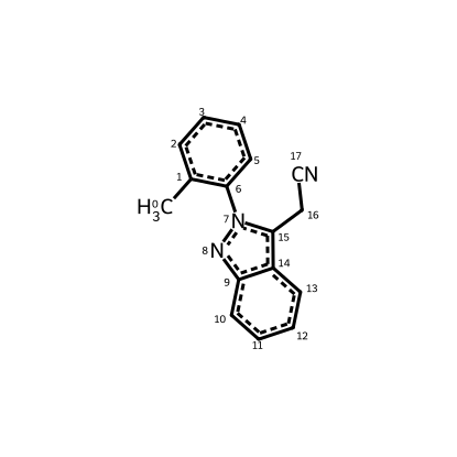 Cc1ccccc1-n1nc2ccccc2c1CC#N